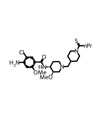 CCCC(=S)N1CCC(CN2CC[C@H](NC(=O)c3cc(Cl)c(N)cc3OC)[C@H](OC)C2)CC1